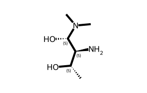 C[C@H](O)[C@H](N)[C@H](O)N(C)C